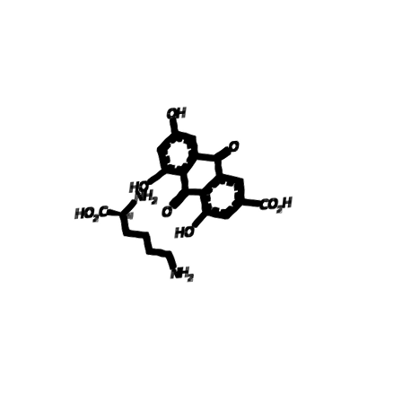 NCCCC[C@H](N)C(=O)O.O=C(O)c1cc(O)c2c(c1)C(=O)c1cc(O)cc(O)c1C2=O